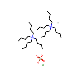 CCCC[N+](CCCC)(CCCC)CCCC.CCCC[N+](CCCC)(CCCC)CCCC.O=S(=O)([O-])[O-].[Cl-].[H+]